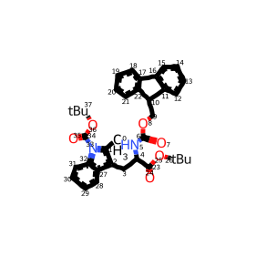 Cc1c(CC(NC(=O)OCC2c3ccccc3-c3ccccc32)C(=O)OC(C)(C)C)c2ccccc2n1C(=O)OC(C)(C)C